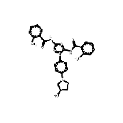 Cc1ccccc1C(=O)Nc1nc(NC(=O)c2ccccc2C)n(-c2ccc(N3CCC(O)C3)cc2)n1